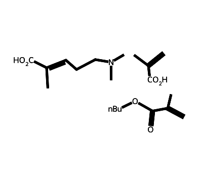 C=C(C)C(=O)O.C=C(C)C(=O)OCCCC.CC(=CCCN(C)C)C(=O)O